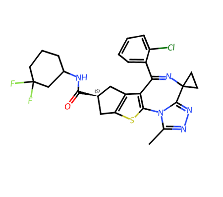 Cc1nnc2n1-c1sc3c(c1C(c1ccccc1Cl)=NC21CC1)C[C@H](C(=O)NC1CCCC(F)(F)C1)C3